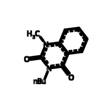 CCCCn1c(=O)c2ccccc2n(C)c1=O